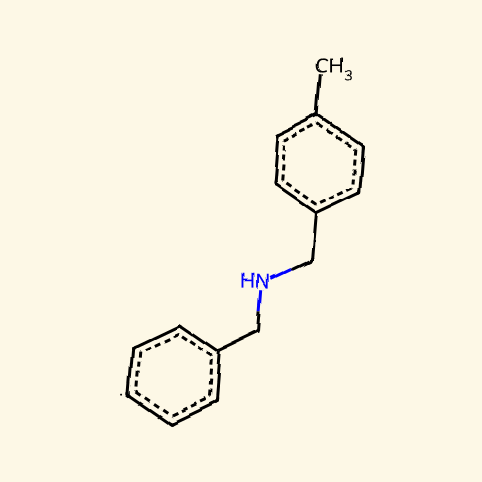 Cc1ccc(CNCc2cc[c]cc2)cc1